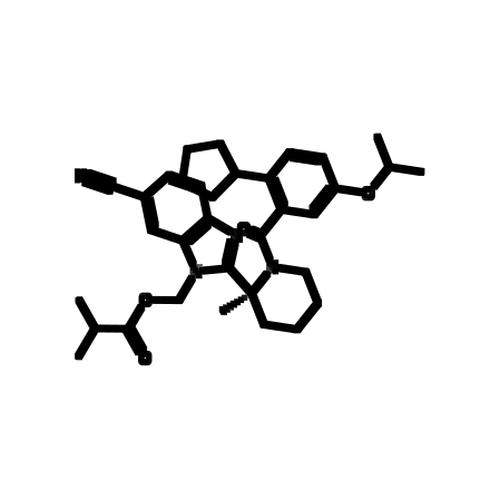 CC(C)Oc1ccc(C2CCCC2)c(C(=O)N2CCCC[C@@]2(C)c2nc3ccc(C#N)cc3n2COC(=O)C(C)C)c1